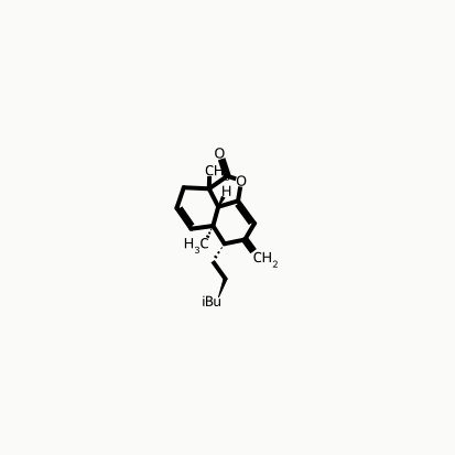 C=C1C=C2OC(=O)C3(C)CC=C[C@](C)([C@H]1CC[C@H](C)CC)[C@@H]23